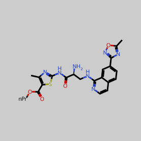 CCCOC(=O)c1sc(NC(=O)[C@@H](N)CNc2nccc3ccc(-c4noc(C)n4)cc23)nc1C